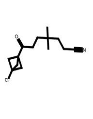 CC(C)(CCC#N)CCC(=O)C12CC(Cl)(C1)C2